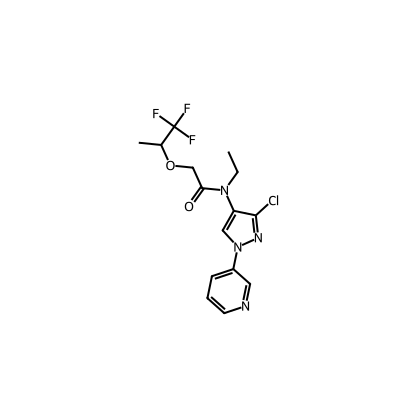 CCN(C(=O)COC(C)C(F)(F)F)c1cn(-c2cccnc2)nc1Cl